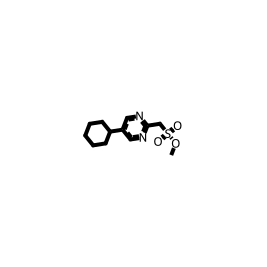 COS(=O)(=O)Cc1ncc(C2CCCCC2)cn1